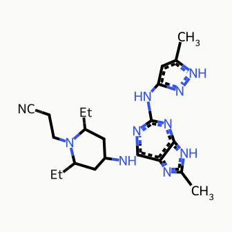 CCC1CC(Nc2nc(Nc3cc(C)[nH]n3)nc3[nH]c(C)nc23)CC(CC)N1CCC#N